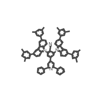 Cc1cc(C)cc(-c2ccc3c(c2)c2cc(-c4cc(C)cc(C)c4)ccc2n3-c2cc(-c3cc(-c4ccccc4)nc(-c4ccccc4)c3)cc(-n3c4ccc(-c5cc(C)cc(C)c5)cc4c4cc(-c5cc(C)cc(C)c5)ccc43)c2C#N)c1